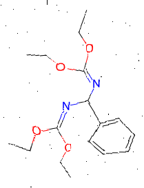 CCOC(=NC(N=C(OCC)OCC)c1ccccc1)OCC